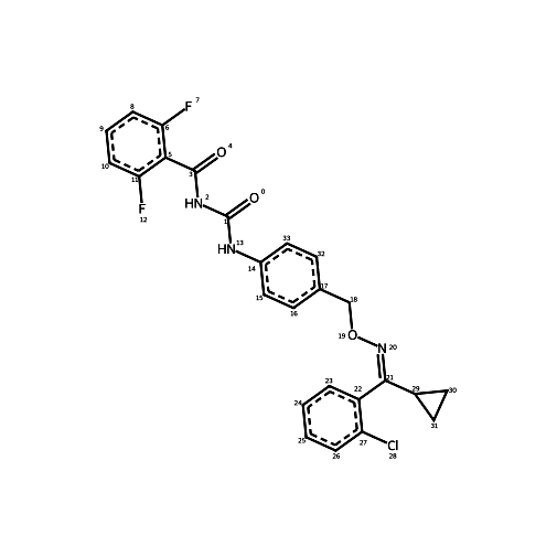 O=C(NC(=O)c1c(F)cccc1F)Nc1ccc(CON=C(c2ccccc2Cl)C2CC2)cc1